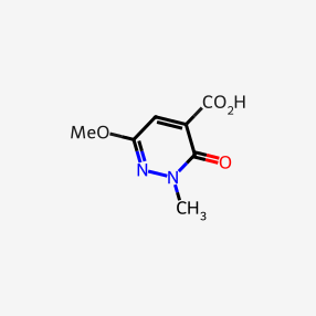 COc1cc(C(=O)O)c(=O)n(C)n1